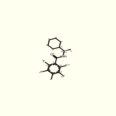 Cc1c(F)c(F)c(C(=O)N[C@H](C)C2CCCCC2)c(F)c1F